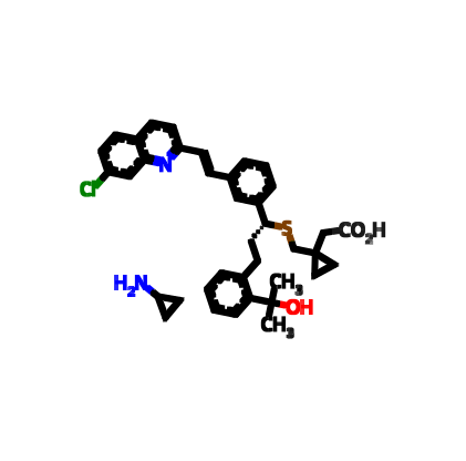 CC(C)(O)c1ccccc1CC[C@@H](SCC1(CC(=O)O)CC1)c1cccc(C=Cc2ccc3ccc(Cl)cc3n2)c1.NC1CC1